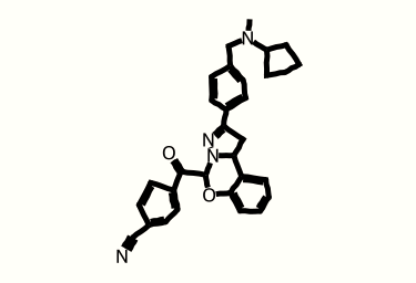 CN(Cc1ccc(C2=NN3C(C(=O)c4ccc(C#N)cc4)Oc4ccccc4C3C2)cc1)C1CCCC1